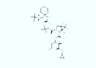 CCCC(NC(=O)[C@@H]1[C@@H]2[C@H](CN1C(=O)[C@@H](NC(=O)NC1(CS(=O)(=O)C(C)(C)C)CCCCC1)C(C)(C)C)C2(C)C)C(=O)C(=O)NC1CC1